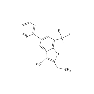 Cc1c(CN)oc2c(C(F)(F)F)cc(-c3cc[c]cn3)cc12